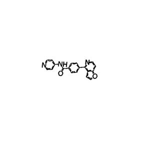 O=C(Nc1ccncc1)c1ccc(-c2nccc3occc23)cc1